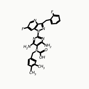 Cc1ccc(CN(C(=O)O)c2c(N)nc(-n3nc(Cc4ccccc4F)c4ncc(F)cc43)nc2N)cc1C